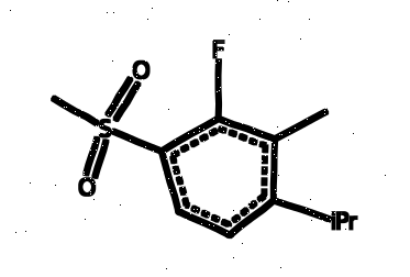 Cc1c(C(C)C)ccc(S(C)(=O)=O)c1F